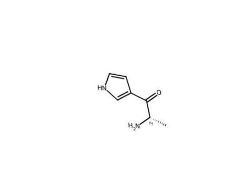 C[C@H](N)C(=O)c1cc[nH]c1